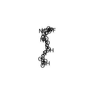 N#Cc1c(NS(=O)(=O)N2CC[C@@H](F)C2)ccc(F)c1Oc1ccc2ncn(C3COC4(CCN(C(=O)CC5(O)CCN(c6ccc7c(c6)CN([C@H]6CCC(=O)NC6=O)C7=O)CC5)CC4)C3)c(=O)c2c1